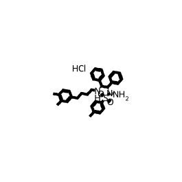 Cc1ccc(S(=O)(=O)N(N)[C@@H](c2ccccc2)[C@@H](NCCCCc2ccc(C)c(C)c2)c2ccccc2)cc1.Cl